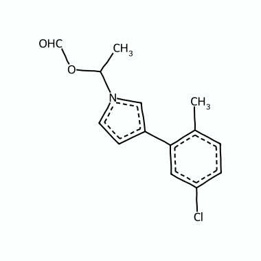 Cc1ccc(Cl)cc1-c1ccn(C(C)OC=O)c1